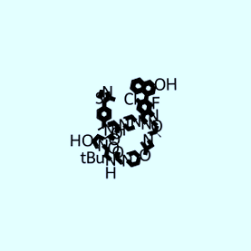 C=CC(=O)N1CCN(c2nc(O[C@H](C)CN3CC(OC4CCN(CC(=O)N[C@H](C(=O)N5C[C@H](O)C[C@H]5C(=O)N[C@@H](C)c5ccc(-c6scnc6C)cc5)C(C)(C)C)CC4)C3)nc3c(F)c(-c4cc(O)cc5ccccc45)c(Cl)cc23)CC1